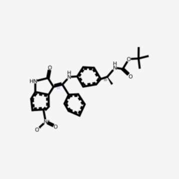 C[C@H](NC(=O)OC(C)(C)C)c1ccc(N/C(=C2\C(=O)Nc3ccc([N+](=O)[O-])cc32)c2ccccc2)cc1